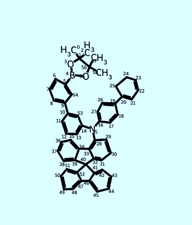 CC1(C)OB(c2cccc(-c3cccc(N(c4ccc(C5=CC=CCC5)cc4)c4cccc5c4-c4ccccc4C54c5ccccc5-c5ccccc54)c3)c2)OC1(C)C